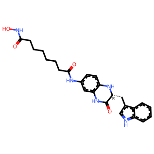 O=C(CCCCCCC(=O)Nc1ccc2c(c1)NC(=O)[C@@H](Cc1c[nH]c3ccccc13)N2)NO